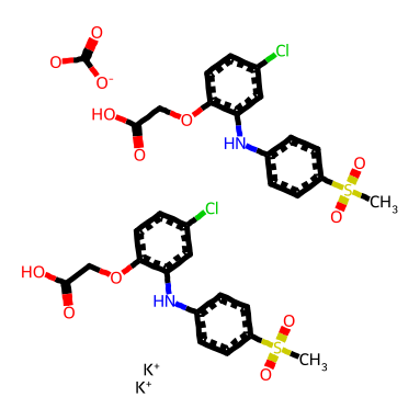 CS(=O)(=O)c1ccc(Nc2cc(Cl)ccc2OCC(=O)O)cc1.CS(=O)(=O)c1ccc(Nc2cc(Cl)ccc2OCC(=O)O)cc1.O=C([O-])[O-].[K+].[K+]